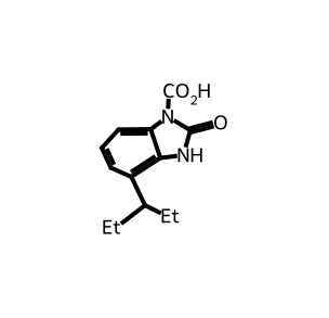 CCC(CC)c1cccc2c1[nH]c(=O)n2C(=O)O